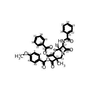 COc1ccc(C(=O)OC(=O)C2(C)CN3C(=O)C(NC(=O)c4ccccc4)[C@H]3SC2=COC(=O)c2ccccc2)cc1